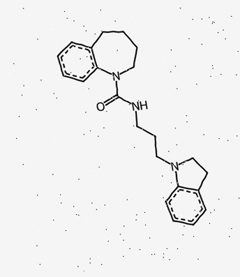 O=C(NCCCN1CCc2ccccc21)N1CCCCc2ccccc21